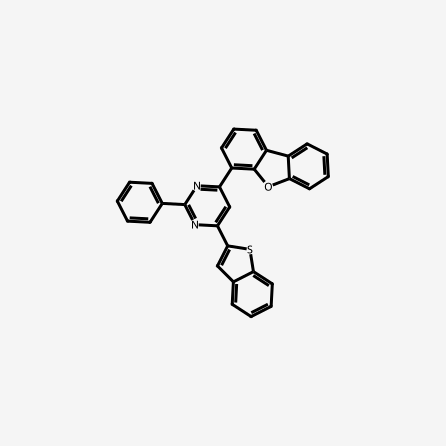 c1ccc(-c2nc(-c3cc4ccccc4s3)cc(-c3cccc4c3oc3ccccc34)n2)cc1